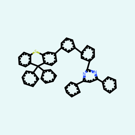 c1ccc(-c2cc(-c3ccccc3)nc(-c3cccc(-c4cccc(-c5ccc6c(c5)Sc5ccccc5C6(c5ccccc5)c5ccccc5)c4)c3)n2)cc1